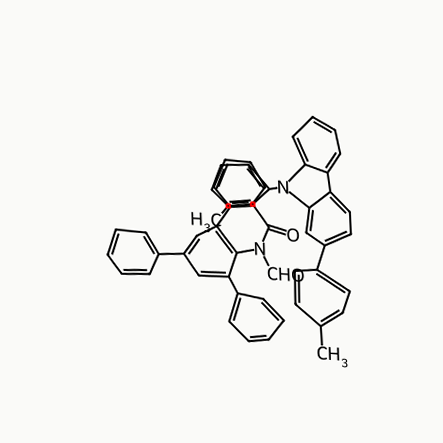 Cc1ccc(-c2ccc3c4ccccc4n(-c4cccc(C)c4C(=O)N(C=O)c4c(-c5ccccc5)cc(-c5ccccc5)cc4-c4ccccc4)c3c2)cc1